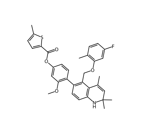 COc1cc(OC(=O)c2ccc(C)s2)ccc1-c1ccc2c(c1COc1cc(F)ccc1C)C(C)=CC(C)(C)N2